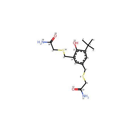 CC(C)(C)c1cc(CSCC(N)=O)cc(CSCC(N)=O)c1O